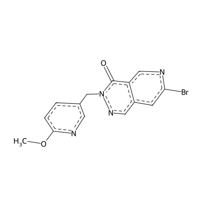 COc1ccc(Cn2ncc3cc(Br)ncc3c2=O)cn1